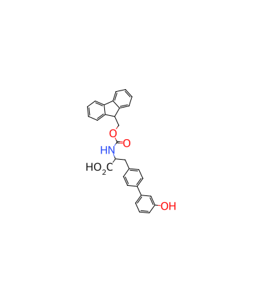 O=C(NC(Cc1ccc(-c2cccc(O)c2)cc1)C(=O)O)OCC1c2ccccc2-c2ccccc21